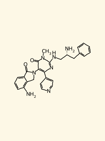 Cn1c(NC[C@H](N)Cc2ccccc2)nc(-c2ccncc2)c(N2Cc3c(N)cccc3C2=O)c1=O